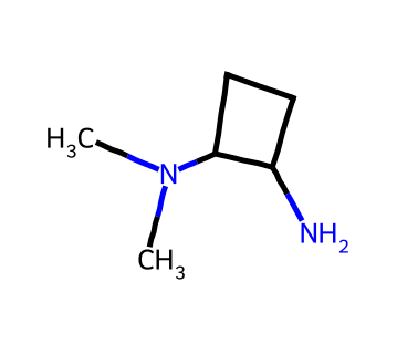 CN(C)C1CCC1N